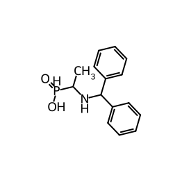 CC(NC(c1ccccc1)c1ccccc1)[PH](=O)O